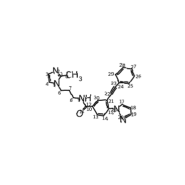 Cc1nccn1CCCNC(=O)c1ccc(-n2cccn2)c(C#Cc2ccccc2)c1